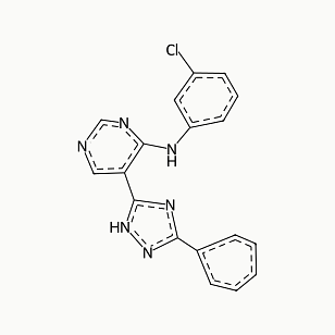 Clc1cccc(Nc2ncncc2-c2nc(-c3ccccc3)n[nH]2)c1